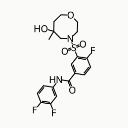 CC1(O)CCOCCN(S(=O)(=O)c2cc(C(=O)Nc3ccc(F)c(F)c3)ccc2F)C1